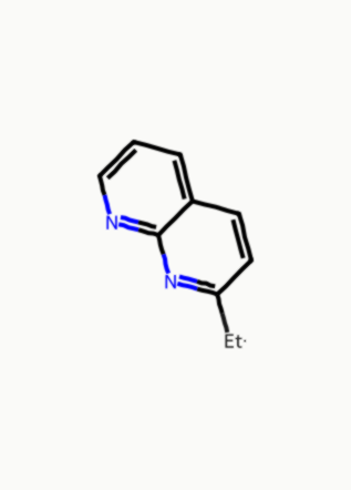 C[CH]c1ccc2cccnc2n1